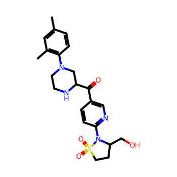 Cc1ccc(N2CCNC(C(=O)c3ccc(N4C(CO)CCS4(=O)=O)nc3)C2)c(C)c1